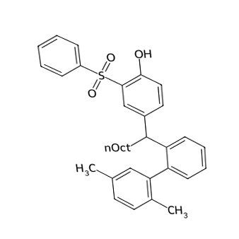 CCCCCCCCC(c1ccc(O)c(S(=O)(=O)c2ccccc2)c1)c1ccccc1-c1cc(C)ccc1C